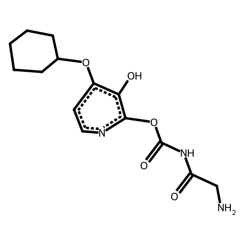 NCC(=O)NC(=O)Oc1nccc(OC2CCCCC2)c1O